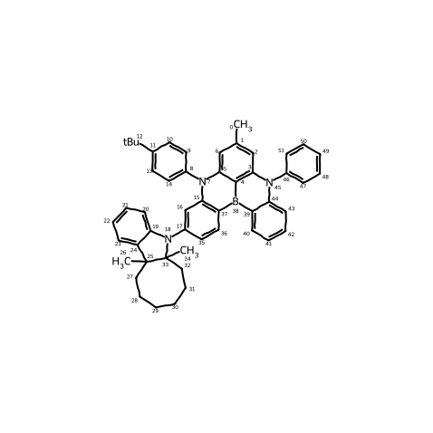 Cc1cc2c3c(c1)N(c1ccc(C(C)(C)C)cc1)c1cc(N4c5ccccc5C5(C)CCCCCCC45C)ccc1B3c1ccccc1N2c1ccccc1